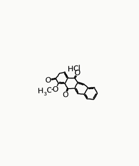 COC1=C2C(=O)c3cc4ccccc4cc3C(=O)C2=CCC1=O.Cl